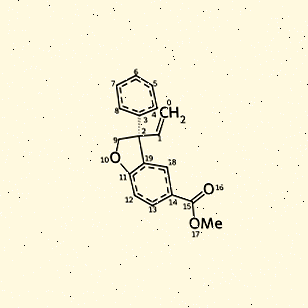 C=C[C@]1(c2ccccc2)COc2ccc(C(=O)OC)cc21